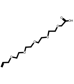 C=CCOCCOCCOCCOCCOCC(=O)O